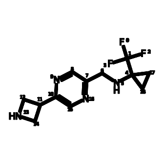 FC(F)(F)C1(NCc2cnc(C3CNC3)cn2)CC1